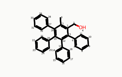 Cc1c(CO)c(-c2ccccc2)c(-c2ccccc2)c(-c2ccccc2)c1-c1ccccc1